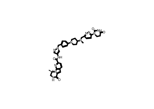 C[C@@H]1CNC(=O)c2cc3ccc(C(=O)Nc4cnn(Cc5ccc(N6CCC(N(C)Cc7ccc(N8CCC(=O)NC8=O)nn7)CC6)cc5)c4)nc3n21